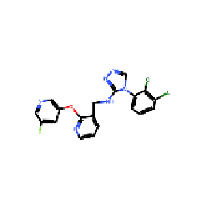 Fc1cncc(Oc2ncccc2CNc2nncn2-c2cccc(Cl)c2Cl)c1